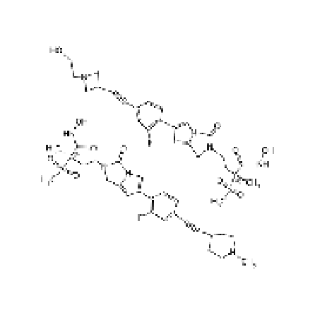 CN1CCC(C#Cc2ccc(-c3cc4n(c3)C(=O)N(CC[C@](C)(C(=O)NO)S(C)(=O)=O)C4)c(F)c2)CC1.C[C@@](CCN1Cc2cc(-c3ccc(C#CC4CN(CCO)C4)cc3F)cn2C1=O)(C(=O)NO)S(C)(=O)=O